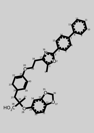 Cc1oc(-c2ccc(-c3ccccc3)cc2)nc1CCOC1=CCC(CC(C)(Oc2ccc3c(c2)OCO3)C(=O)O)C=C1